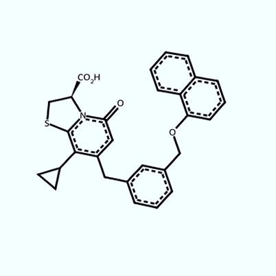 O=C(O)[C@@H]1CSc2c(C3CC3)c(Cc3cccc(COc4cccc5ccccc45)c3)cc(=O)n21